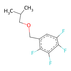 CC(C)COCc1cc(F)c(F)c(F)c1F